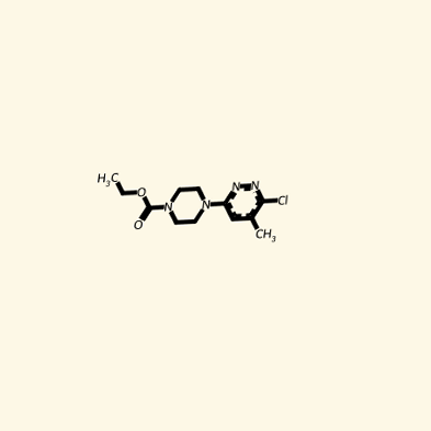 CCOC(=O)N1CCN(c2cc(C)c(Cl)nn2)CC1